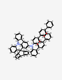 c1ccc(-c2ccc(-c3ccc(N(c4cc5c6c(c4)c4ccccc4n6-c4ccccc4C54c5ccccc5-c5ccccc54)c4ccccc4-c4ccc(-c5ccccc5)cc4)cc3)cc2)cc1